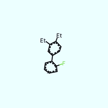 CCc1ccc(-c2cc[c]cc2F)cc1CC